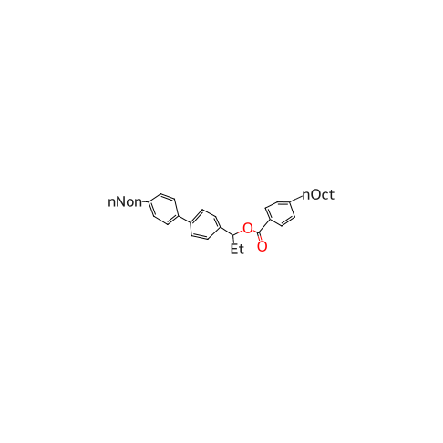 CCCCCCCCCc1ccc(-c2ccc(C(CC)OC(=O)c3ccc(CCCCCCCC)cc3)cc2)cc1